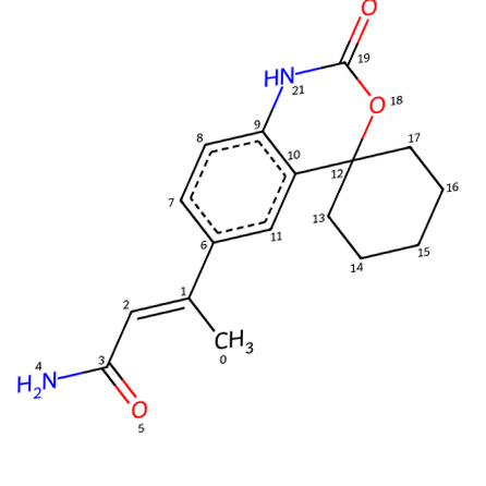 C/C(=C\C(N)=O)c1ccc2c(c1)C1(CCCCC1)OC(=O)N2